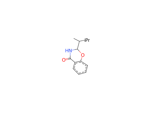 CC(C)C(C)C1NC(=O)c2ccccc2O1